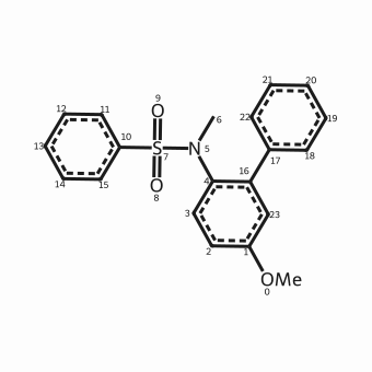 COc1ccc(N(C)S(=O)(=O)c2ccccc2)c(-c2ccccc2)c1